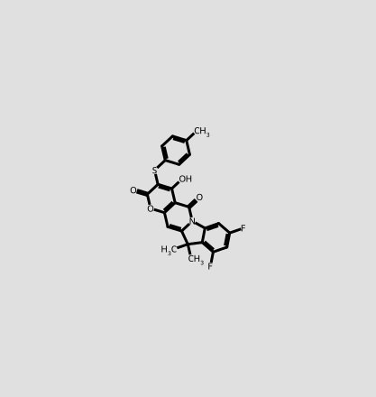 Cc1ccc(Sc2c(O)c3c(=O)n4c(cc3oc2=O)C(C)(C)c2c(F)cc(F)cc2-4)cc1